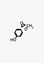 C1CO1.C=O.Oc1ccccc1